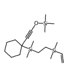 C=C[Si](C)(C)CC[Si](C)(C)C1(C#CO[Si](C)(C)C)CCCCC1